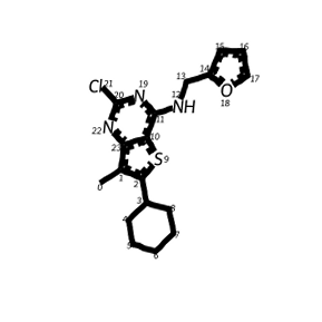 Cc1c(C2CCCCC2)sc2c(NCc3ccco3)nc(Cl)nc12